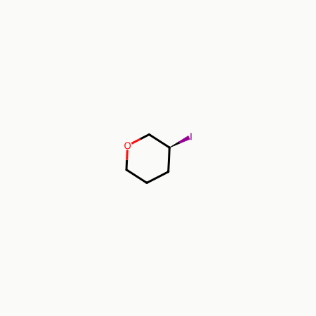 I[C@H]1CCCOC1